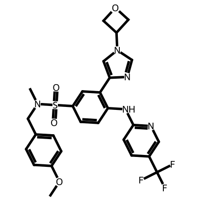 COc1ccc(CN(C)S(=O)(=O)c2ccc(Nc3ccc(C(F)(F)F)cn3)c(-c3cn(C4COC4)cn3)c2)cc1